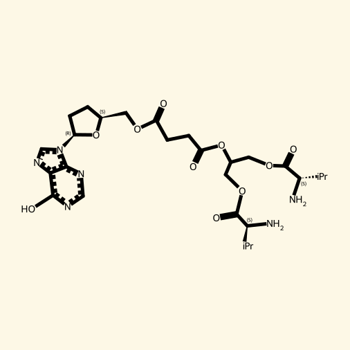 CC(C)[C@H](N)C(=O)OCC(COC(=O)[C@@H](N)C(C)C)OC(=O)CCC(=O)OC[C@@H]1CC[C@H](n2cnc3c(O)ncnc32)O1